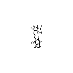 [2H]C(CCCn1c(=O)c2c(ncn2C)n(C)c1=O)C(O)C([2H])([2H])O